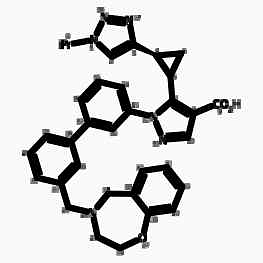 CC(C)n1cc([C@H]2CC2c2c(C(=O)O)cnn2-c2cccc(-c3cccc(CN4CCOc5ccccc5C4)c3)c2)nn1